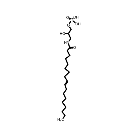 CCCCCCCC/C=C/CCCCCCCC(=O)NCC(O)COP(=O)(O)O